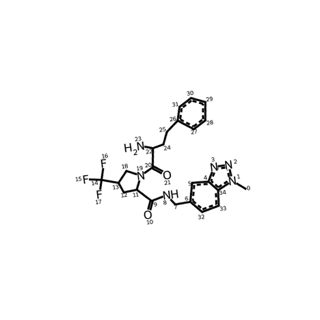 Cn1nnc2cc(CNC(=O)C3CC(C(F)(F)F)CN3C(=O)C(N)CCc3ccccc3)ccc21